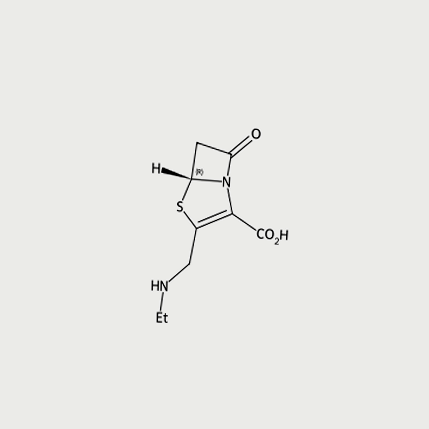 CCNCC1=C(C(=O)O)N2C(=O)C[C@H]2S1